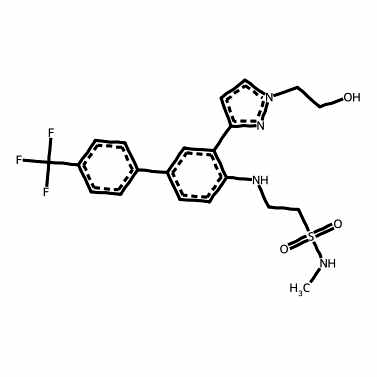 CNS(=O)(=O)CCNc1ccc(-c2ccc(C(F)(F)F)cc2)cc1-c1ccn(CCO)n1